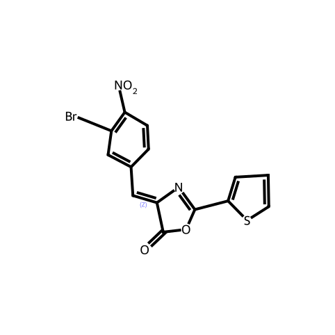 O=C1OC(c2cccs2)=N/C1=C\c1ccc([N+](=O)[O-])c(Br)c1